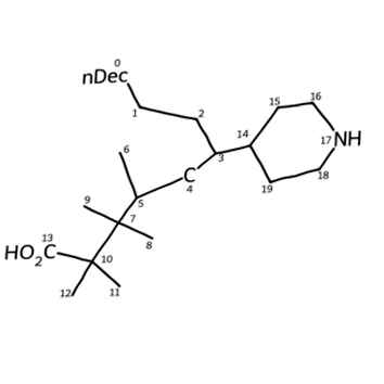 CCCCCCCCCCCCC(CC(C)C(C)(C)C(C)(C)C(=O)O)C1CCNCC1